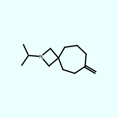 C=C1CCCC2(CC1)CN(C(C)C)C2